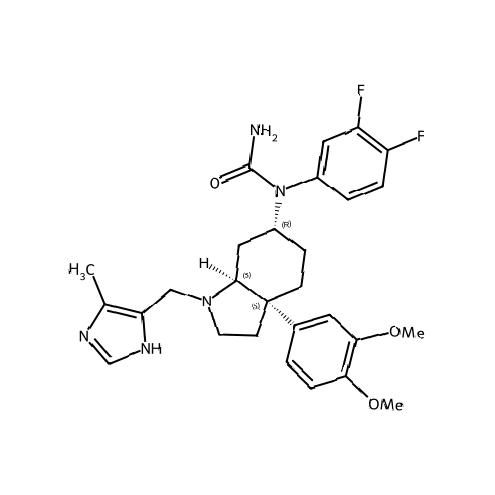 COc1ccc([C@@]23CC[C@@H](N(C(N)=O)c4ccc(F)c(F)c4)C[C@@H]2N(Cc2[nH]cnc2C)CC3)cc1OC